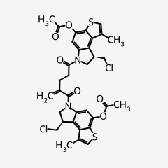 C=C(CCC(=O)N1C[C@H](CCl)c2c1cc(OC(C)=O)c1scc(C)c21)C(=O)N1C[C@H](CCl)c2c1cc(OC(C)=O)c1scc(C)c21